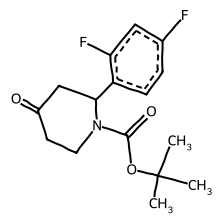 CC(C)(C)OC(=O)N1CCC(=O)CC1c1ccc(F)cc1F